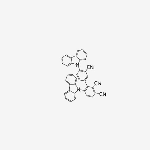 N#Cc1cc(-c2c(-n3c4ccccc4c4ccccc43)ccc(C#N)c2C#N)ccc1-n1c2ccccc2c2ccccc21